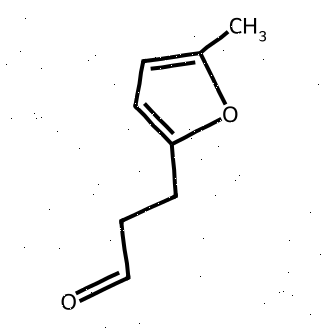 Cc1ccc(CCC=O)o1